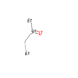 CC[CH2][Sn](=[O])[CH2]C